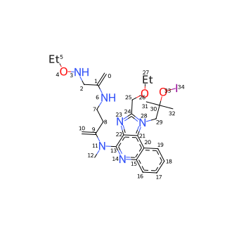 C=C(CNOCC)NCCC(=C)N(C)c1nc2ccccc2c2c1nc(COCC)n2CC(C)(C)OI